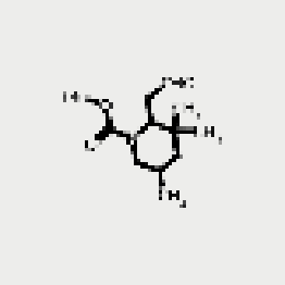 CC1CN(C(=O)OC(C)(C)C)C(CC=O)C(C)(C)C1